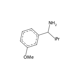 COc1cccc(C(N)C(C)C)c1